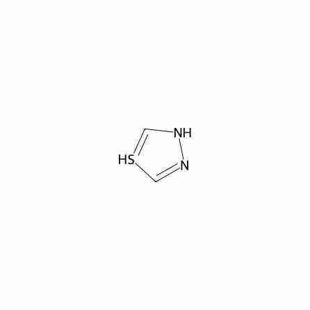 C1=NNC=[SH]1